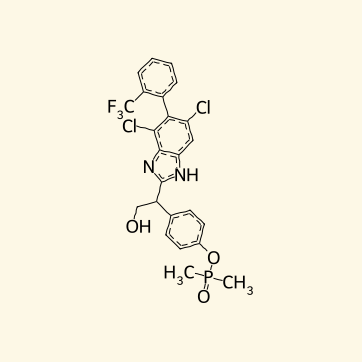 CP(C)(=O)Oc1ccc(C(CO)c2nc3c(Cl)c(-c4ccccc4C(F)(F)F)c(Cl)cc3[nH]2)cc1